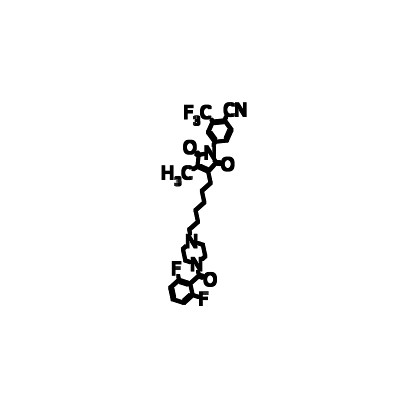 CC1=C(CCCCCCN2CCN(C(=O)c3c(F)cccc3F)CC2)C(=O)N(c2ccc(C#N)c(C(F)(F)F)c2)C1=O